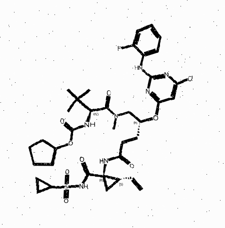 C=C[C@@H]1C[C@]1(NC(=O)CC[C@H](CN(C)C(=O)[C@@H](NC(=O)OC1CCCC1)C(C)(C)C)Oc1cc(Cl)nc(Nc2ccccc2F)n1)C(=O)NS(=O)(=O)C1CC1